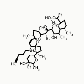 C#CCCCN[C@@H]1C=C[C@]2(O[C@H]([C@@H](CC)C(=O)[C@@H](C)[C@@H](O)[C@H](C)C3OC(C(CC)C(=O)O)CC[C@@H]3C)[C@@H](C)C[C@H]2C)O[C@@]12CC[C@@](C)([C@H]1CC[C@](O)(CC)[C@H](C)O1)O2